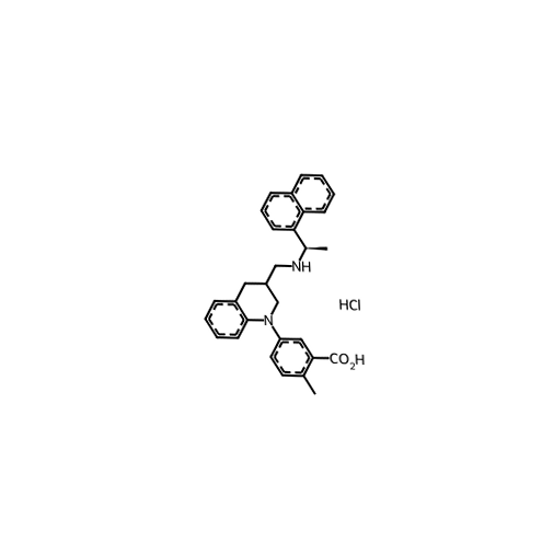 Cc1ccc(N2CC(CN[C@H](C)c3cccc4ccccc34)Cc3ccccc32)cc1C(=O)O.Cl